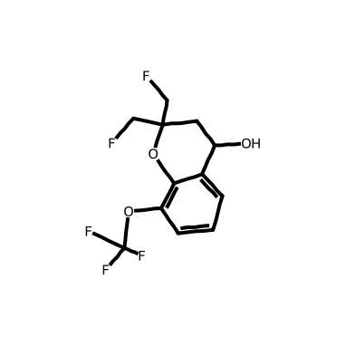 OC1CC(CF)(CF)Oc2c(OC(F)(F)F)cccc21